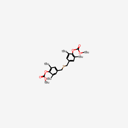 CC(C)(C)OC(=O)Oc1c(C(C)(C)C)cc(CSCc2cc(C(C)(C)C)c(OC(=O)OC(C)(C)C)c(C(C)(C)C)c2)cc1C(C)(C)C